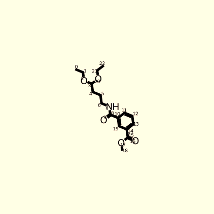 CCOC(CCCNC(=O)c1cccc(C(=O)OC)c1)OCC